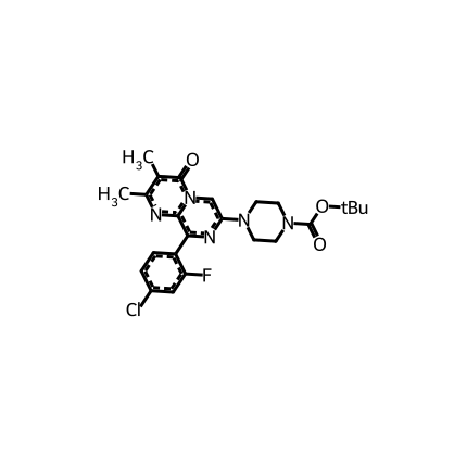 Cc1nc2c(-c3ccc(Cl)cc3F)nc(N3CCN(C(=O)OC(C)(C)C)CC3)cn2c(=O)c1C